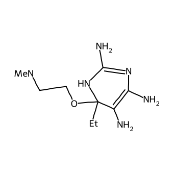 CCC1(OCCNC)NC(N)=NC(N)=C1N